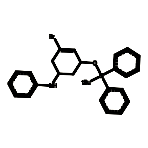 CC(C)(C)[Si](OC1C=C(Br)CC(Nc2ccccc2)C1)(c1ccccc1)c1ccccc1